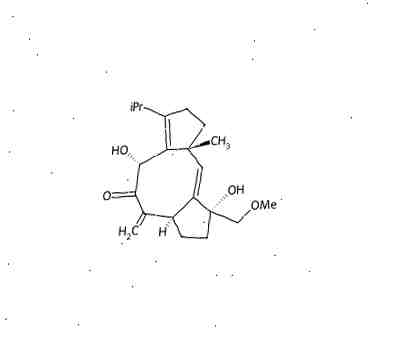 C=C1C(=O)[C@H](O)C2=C(C(C)C)CC[C@]2(C)/C=C2\[C@H]1CC[C@]2(O)COC